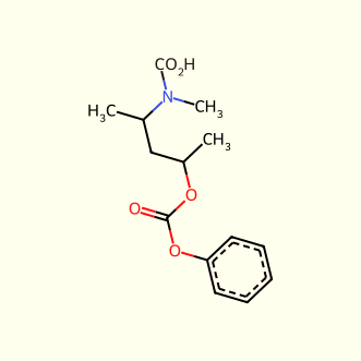 CC(CC(C)N(C)C(=O)O)OC(=O)Oc1ccccc1